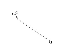 O=C(Cl)C#CCCCCCCCCCCCCCCCCCCCCCCCl